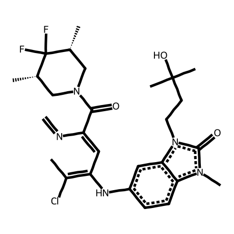 C=N/C(=C\C(Nc1ccc2c(c1)n(CCC(C)(C)O)c(=O)n2C)=C(/C)Cl)C(=O)N1C[C@@H](C)C(F)(F)[C@@H](C)C1